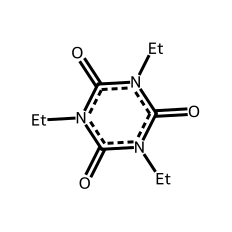 [CH2]Cn1c(=O)n(C[CH2])c(=O)n(C[CH2])c1=O